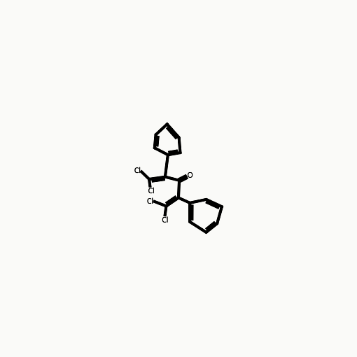 O=C(C(=C(Cl)Cl)c1ccccc1)C(=C(Cl)Cl)c1ccccc1